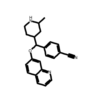 CC1CC(C(Oc2ccc3cccnc3c2)c2ccc(C#N)cc2)CCN1